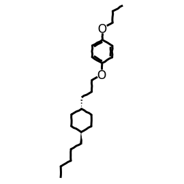 CCCCC[C@H]1CC[C@H](CCCOc2ccc(OCCC)cc2)CC1